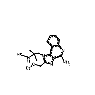 CCOCc1nc2c(N)nc3ccccc3c2n1CC(C)(C)NS